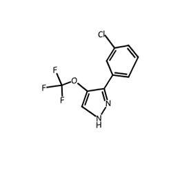 FC(F)(F)Oc1c[nH]nc1-c1cccc(Cl)c1